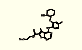 COCCNC(=O)c1sc2ncnc(Nc3ccc(F)cc3O[C@@H]3CCCC[C@H]3O)c2c1C